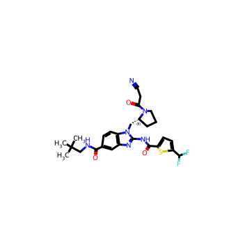 CC(C)(C)CNC(=O)c1ccc2c(c1)nc(NC(=O)c1ccc(C(F)F)s1)n2C[C@H]1CCCN1C(=O)CC#N